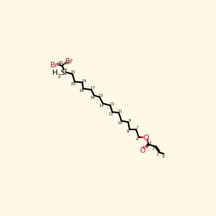 CC=CC(=O)OCCCCCCCCCCCCCCCC[SiH2]C(Br)Br